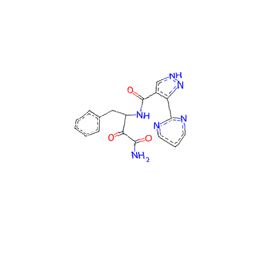 NC(=O)C(=O)C(Cc1ccccc1)NC(=O)c1c[nH]nc1-c1ncccn1